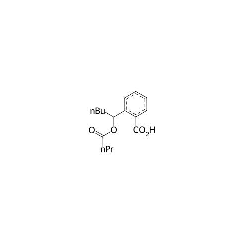 CCCCC(OC(=O)CCC)c1ccccc1C(=O)O